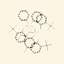 CCCCP(Oc1ccccc1C(C)(C)C)(Oc1ccccc1C(C)(C)C)(OP(O)(Oc1ccccc1C(C)(C)C)(c1ccccc1)c1ccccc1)c1ccc(C)cc1